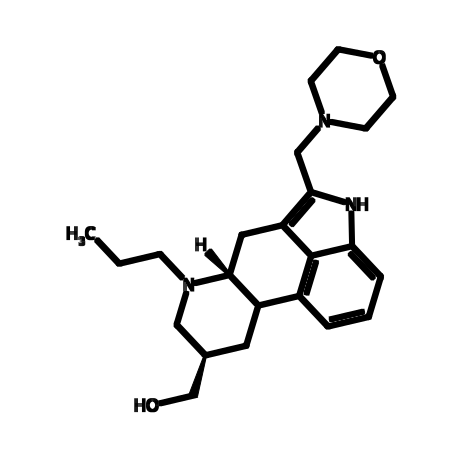 CCCN1C[C@H](CO)CC2c3cccc4[nH]c(CN5CCOCC5)c(c34)C[C@H]21